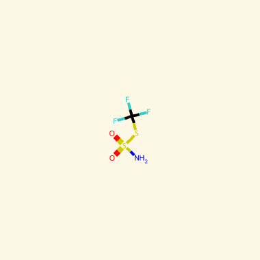 NS(=O)(=O)SC(F)(F)F